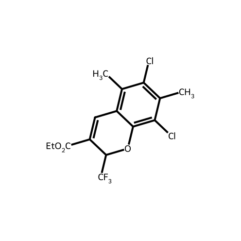 CCOC(=O)C1=Cc2c(C)c(Cl)c(C)c(Cl)c2OC1C(F)(F)F